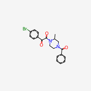 CC1CN(C(=O)c2ccccc2)CCN1C(=O)C(=O)c1ccc(Br)cc1